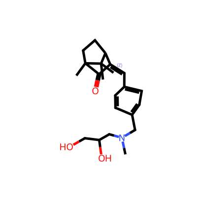 CN(Cc1ccc(/C=C2\C(=O)C3(C)CCC2C3(C)C)cc1)CC(O)CO